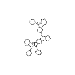 c1ccc(-c2c3cc4c5ccccc5n(-c5ccc6c(c5)c5ccccc5n6-c5ccccc5)c4cc3n3c4ccccc4n(-c4ccccc4)c23)cc1